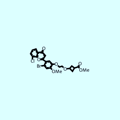 COC(=O)C1CC(OCCOc2cc(-c3cc(=O)c4cccc(Cl)c4o3)c(Br)cc2OC)C1